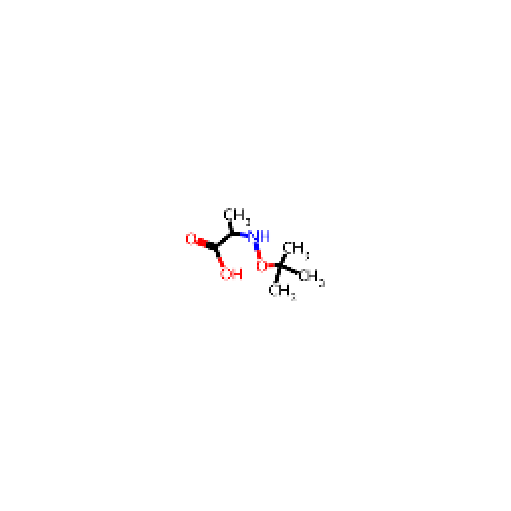 CC(NOC(C)(C)C)C(=O)O